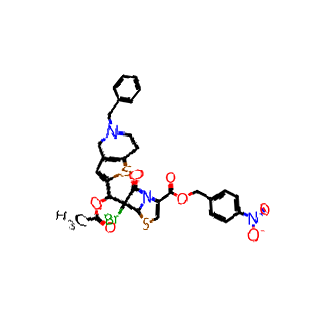 CC(=O)OC(c1cc2c(s1)CCN(Cc1ccccc1)C2)C1(Br)C(=O)N2C(C(=O)OCc3ccc([N+](=O)[O-])cc3)=CSC21